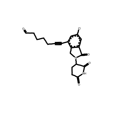 O=CCCCCC#Cc1cc(Cl)cc2c1CN(C1CCC(=O)NC1=O)C2=O